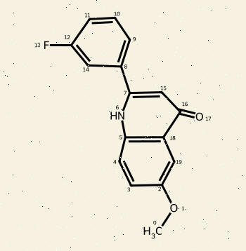 COc1ccc2[nH]c(-c3cccc(F)c3)cc(=O)c2c1